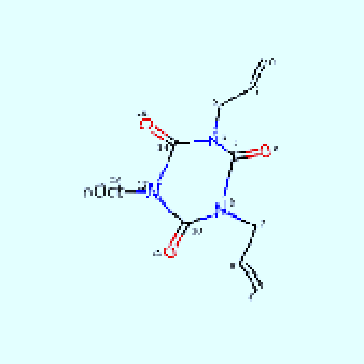 C=CCn1c(=O)n(CC=C)c(=O)n(CCCCCCCC)c1=O